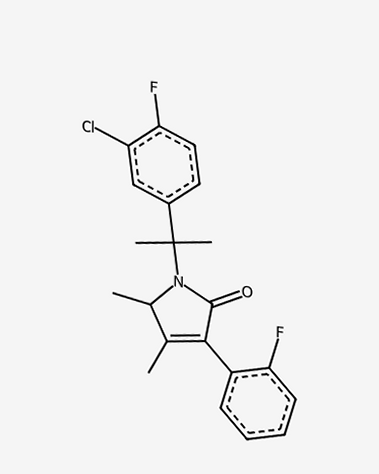 CC1=C(c2ccccc2F)C(=O)N(C(C)(C)c2ccc(F)c(Cl)c2)C1C